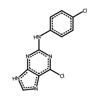 Clc1ccc(Nc2nc(Cl)c3nc[nH]c3n2)cc1